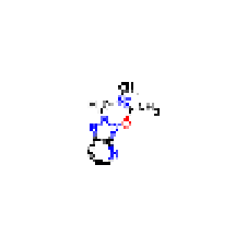 CC(On1nnc2cccnc21)=[N+](C)C